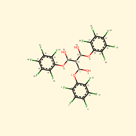 OB(Oc1c(F)c(F)c(F)c(F)c1F)B(B(O)Oc1c(F)c(F)c(F)c(F)c1F)B(O)Oc1c(F)c(F)c(F)c(F)c1F